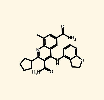 Cc1cc(C(N)=O)cc2c(Nc3cccc4c3CCO4)c(C(N)=O)c(C3CCCC3)nc12